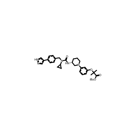 CC(C)COC(=O)C(C)(C)Oc1cccc(N2CCC[C@@H](NC(=O)N(Cc3ccc(-c4cn[nH]c4)cc3)C3CC3)C2)c1